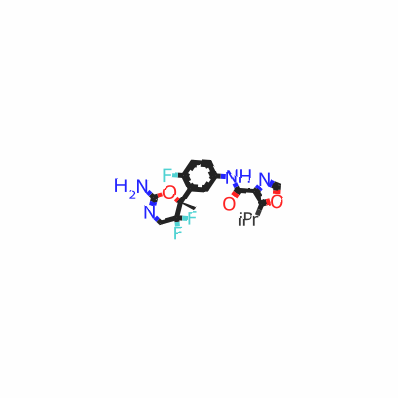 CC(C)c1ocnc1C(=O)Nc1ccc(F)c([C@@]2(C)OC(N)=NCC2(F)F)c1